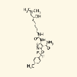 Cc1ccc(C(F)(F)Oc2nsc(NC(=O)NCCCCCC(O)CN(C)C)c2C(N)=O)cc1